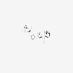 CC(C)(C)n1nc([C@H]2CC[C@@H](OC(=O)NC3(C(F)(F)F)CC3)C2)cc1Nc1cccnn1